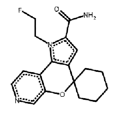 NC(=O)c1cc2c(n1CCF)-c1ccncc1OC21CCCCC1